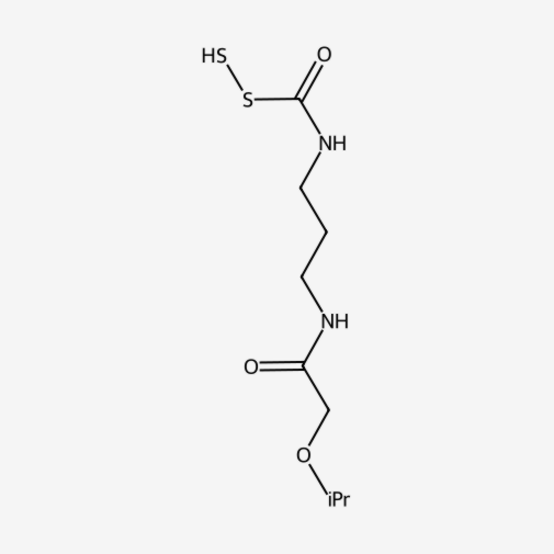 CC(C)OCC(=O)NCCCNC(=O)SS